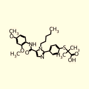 CCCCCn1c(C(=O)Nc2ccc(OC)cc2OC)cnc1-c1ccc(SC(C)(C)C(=O)O)cc1